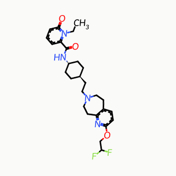 CCn1c(C(=O)N[C@H]2CC[C@H](CCN3CCc4ccc(OCC(F)F)nc4CC3)CC2)cccc1=O